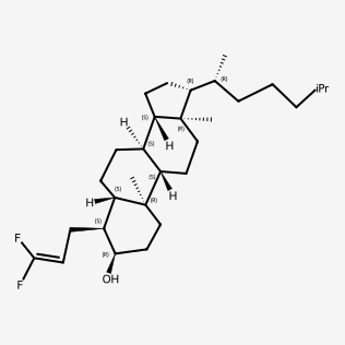 CC(C)CCC[C@@H](C)[C@H]1CC[C@H]2[C@@H]3CC[C@H]4[C@H](CC=C(F)F)[C@H](O)CC[C@]4(C)[C@H]3CC[C@]12C